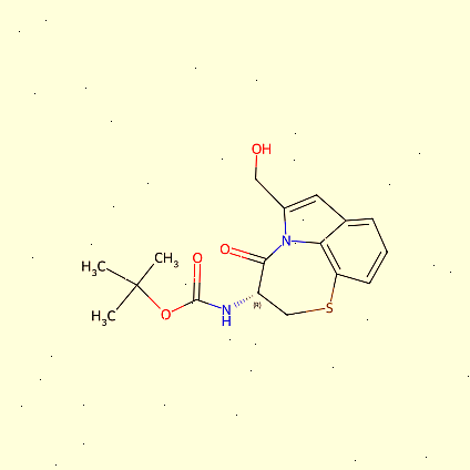 CC(C)(C)OC(=O)N[C@H]1CSc2cccc3cc(CO)n(c23)C1=O